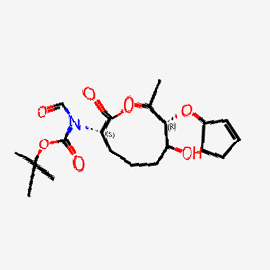 CC1OC(=O)[C@@H](N(C=O)C(=O)OC(C)(C)C)CCCC(O)[C@H]1OC1C=CCC1